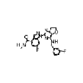 NC(=O)c1cc(F)cc2c1cnn2-c1nc2c(c(NCc3cccc(F)c3)n1)OCC2